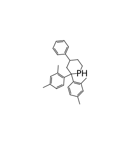 Cc1ccc(C2(c3ccc(C)cc3C)CC(c3ccccc3)CCP2)c(C)c1